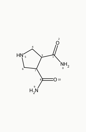 NC(=O)C1CNCC1C(N)=O